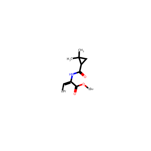 CCCC=C(NC(=O)C1CC1(C)C)C(=O)OC(C)(C)C